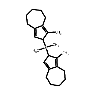 CC1=C2CCCCCC2=CC1[Si](C)(C)C1C=C2CCCCCC2=C1C